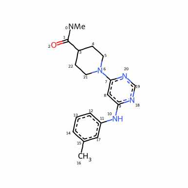 CNC(=O)C1CCN(c2cc(Nc3cccc(C)c3)ncn2)CC1